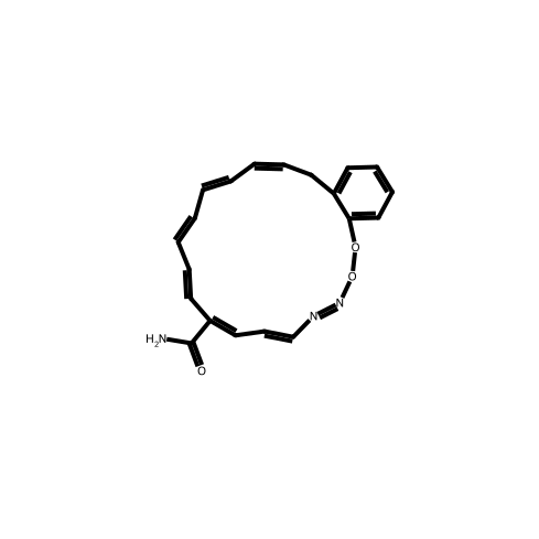 NC(=O)C1=C/C=C/N=N/OOc2ccccc2C/C=C\C=C\C=C\C=C\1